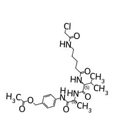 CC(=O)OCc1ccc(NC(=O)[C@H](C)NC(=O)[C@@H](NC(=O)CCCCNC(=O)CCl)C(C)C)cc1